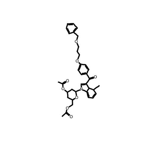 CC(=O)OCC1CC(OC(C)=O)CC(N2C=C(C(=O)c3ccc(OCCCOCc4ccccc4)cc3)C3C2=CC=CC3C)O1